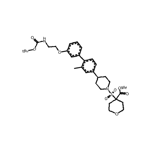 COC(=O)C1(S(=O)(=O)N2CCC(c3ccc(-c4cccc(OCCNC(=O)OC(C)(C)C)c4)c(C)c3)CC2)CCOCC1